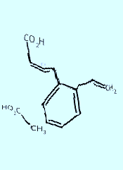 C=Cc1ccccc1/C=C/C(=O)O.CC(=O)O